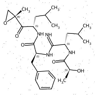 CC(C)C[C@H](NC(=O)[C@H](C)O)C(=N)N[C@@H](Cc1ccccc1)C(=O)N[C@@H](CC(C)C)C(=O)[C@@]1(C)CO1